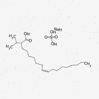 CCCCCCCC/C=C\CCCCCCC(C(=O)O)C(C)C.O=S(=O)(O)O.[NaH]